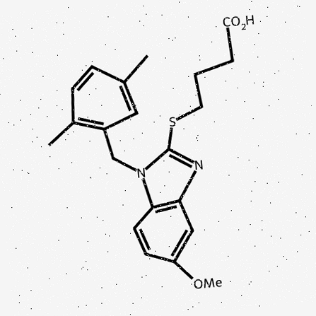 COc1ccc2c(c1)nc(SCCCC(=O)O)n2Cc1cc(C)ccc1C